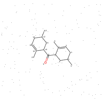 CC1=CCC(C)CC1C(=O)C1CC(C)CC=C1C